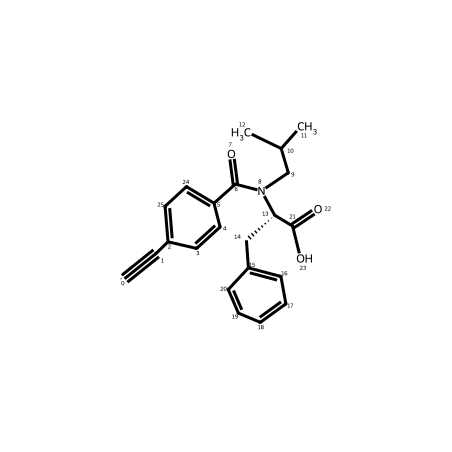 [C]#Cc1ccc(C(=O)N(CC(C)C)[C@@H](Cc2ccccc2)C(=O)O)cc1